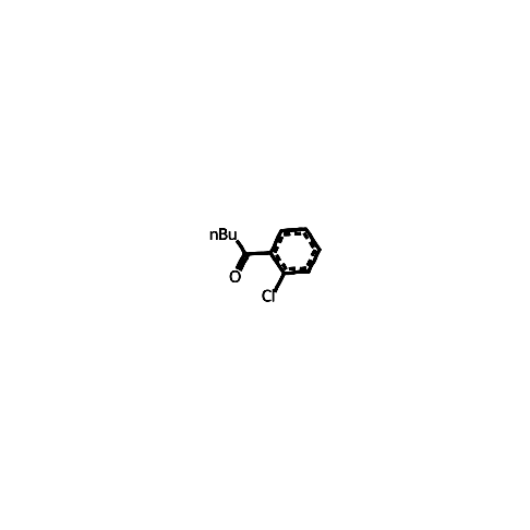 [CH2]CCCC(=O)c1ccccc1Cl